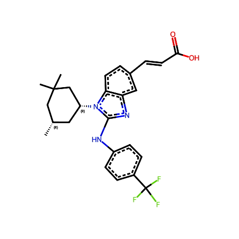 C[C@H]1C[C@@H](n2c(Nc3ccc(C(F)(F)F)cc3)nc3cc(C=CC(=O)O)ccc32)CC(C)(C)C1